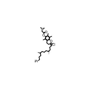 Cc1c(C)c2c(c(C)c1OC(=O)CN(C)C)CC[C@@](C)(CCC[C@H](C)CCC[C@H](C)CCCC(C)C)O2.Cl